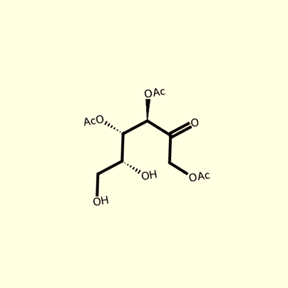 CC(=O)OCC(=O)[C@H](OC(C)=O)[C@@H](OC(C)=O)[C@H](O)CO